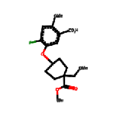 COCC1(C(=O)OC(C)(C)C)CCC(Oc2cc(C(=O)O)c(OC)cc2F)CC1